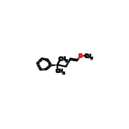 COC=CCC(C)(C)c1ccccc1